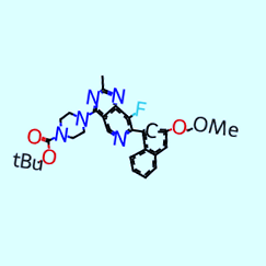 COCOc1cc(-c2ncc3c(N4CCN(C(=O)OC(C)(C)C)CC4)nc(C)nc3c2F)c2ccccc2c1